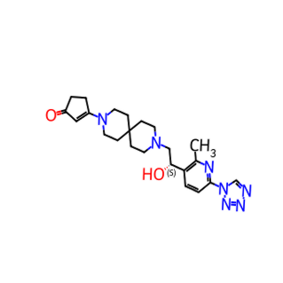 Cc1nc(-n2cnnn2)ccc1[C@H](O)CN1CCC2(CC1)CCN(C1=CC(=O)CC1)CC2